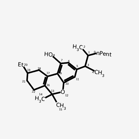 CCCCCC(C)C(C)c1cc(O)c2c(c1)OC(C)(C)C1=C2CC(CC)CC1